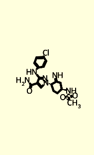 CS(=O)(=O)N[C@H]1CC[C@H](n2cc(C(N)=O)c(Nc3ccc(Cl)cc3)n2)C(=N)C1